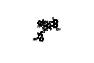 CCc1c(F)ccc2cc(O)cc(-c3nc4c5c(nc(OCC6(CN7CCC[C@H]7CO)CC6)nc5c3F)N3C[C@H]5CC[C@H](N5)[C@@H]3CO4)c12